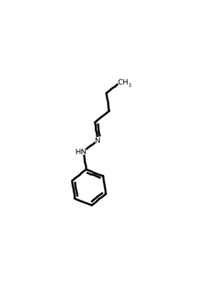 CCC/C=N/Nc1ccccc1